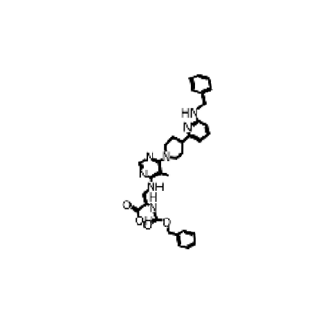 Cc1c(NCC(NC(=O)OCc2ccccc2)C(=O)O)ncnc1N1CCC(c2cccc(NCc3ccccc3)n2)CC1